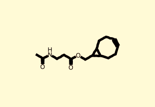 CC(=O)NCCC(=O)OCC1C2CCC#CCCC21